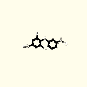 O=Cc1cc(F)c(Oc2cccc(OC(F)(F)F)c2)c(F)c1